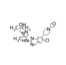 Cc1c(Nc2ncc3cc(Cl)c(C4CCN(C5COC5)CC4)cc3n2)cnn1CC(C)(C)O